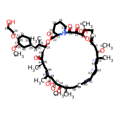 CO[C@H]1C[C@@H]2CC[C@@H](C)[C@@](O)(O2)C(=O)C(=O)N2CCCCC2C(=O)O[C@H]([C@H](C)C[C@@H]2CC[C@@H](OCCO)[C@H](OC)C2)CC(=O)[C@H](C)/C=C(\C)[C@@H](O)[C@@H](OC)C(=O)[C@H](C)CC/C=C/C=C/C=C/1C